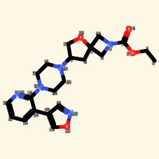 CCOC(=O)N1CC2(CC(N3CCN(c4ncccc4-c4cnoc4)CC3)CO2)C1